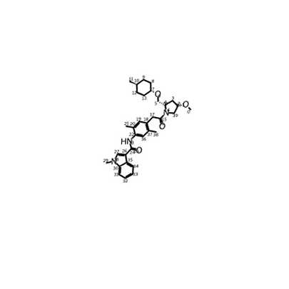 CO[C@H]1C[C@@H](CO[C@H]2CC[C@H](C)CC2)N(C(=O)Cc2cc(C)c(NC(=O)c3cn(C)c4ccccc34)cc2C)C1